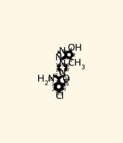 C[C@@H]1C[C@@H](O)c2ncnc(N3CCN(C(=O)C(CN)c4ccc(Cl)cc4F)CC3)c21